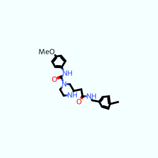 COc1ccc(NC(=O)N2CCNC(CC(=O)NCc3ccc(C)cc3)C2)cc1